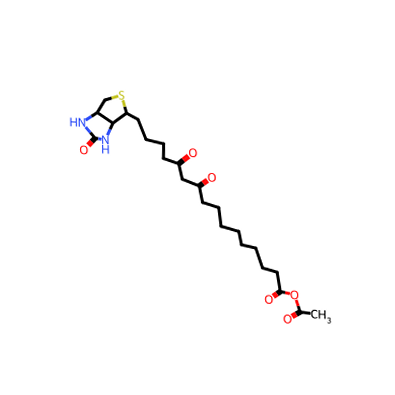 CC(=O)OC(=O)CCCCCCCCC(=O)CC(=O)CCCCC1SCC2NC(=O)NC21